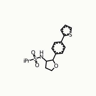 CC(C)S(=O)(=O)NC1CCOC1c1ccc(-c2cccs2)cc1